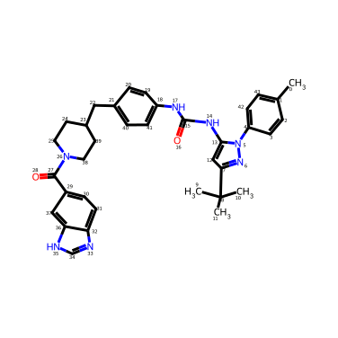 Cc1ccc(-n2nc(C(C)(C)C)cc2NC(=O)Nc2ccc(CC3CCN(C(=O)c4ccc5nc[nH]c5c4)CC3)cc2)cc1